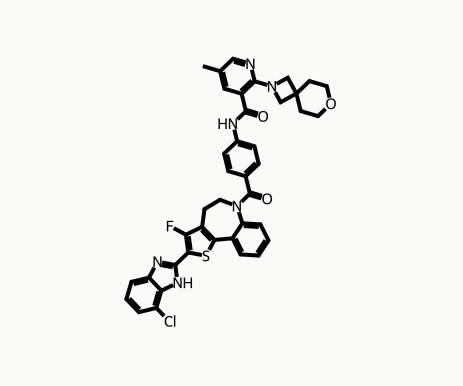 Cc1cnc(N2CC3(CCOCC3)C2)c(C(=O)Nc2ccc(C(=O)N3CCc4c(sc(-c5nc6cccc(Cl)c6[nH]5)c4F)-c4ccccc43)cc2)c1